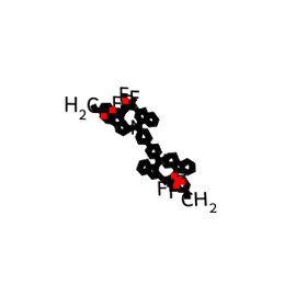 C=Cc1ccc(CC23c4ccccc4-c4ccc(cc42)N(c2ccc(-c4ccc(N5c6ccc7c(c6)C(Cc6ccc(C=C)cc6)(c6ccccc6-7)c6c(F)c(F)c(F)c(c6F)-c6cc5c5ccccc5c6)cc4)cc2)c2cc(cc4ccccc24)-c2c(F)c(F)c(F)c3c2F)cc1